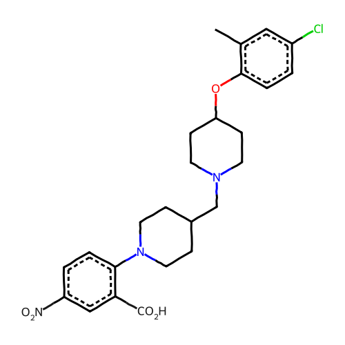 Cc1cc(Cl)ccc1OC1CCN(CC2CCN(c3ccc([N+](=O)[O-])cc3C(=O)O)CC2)CC1